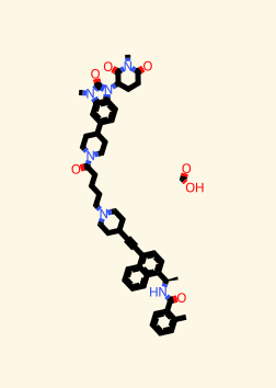 Cc1ccccc1C(=O)N[C@H](C)c1ccc(C#CC2CCN(CCCCC(=O)N3CCC(c4ccc5c(c4)n(C)c(=O)n5C4CCC(=O)N(C)C4=O)CC3)CC2)c2ccccc12.O=CO